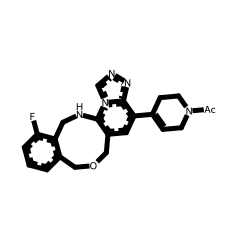 CC(=O)N1CC=C(c2cc3c(n4cnnc24)NCc2c(F)cccc2COC3)CC1